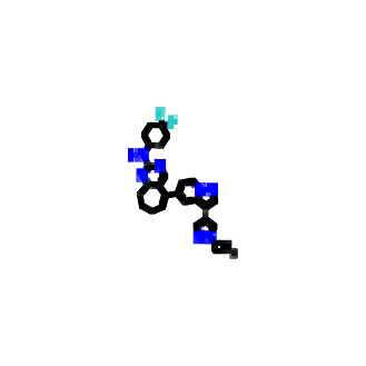 Cn1cc(-c2cnn3ccc(C4=CCCCc5nc(NC6CCC(F)(F)CC6)ncc54)cc23)cn1